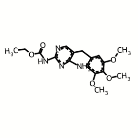 CCOC(=O)Nc1ncc(Cc2cc(OC)c(OC)c(OC)c2)c(N)n1